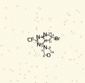 Clc1nc(N2CCOCC2)c2cc(Br)cnc2n1